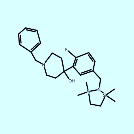 C[Si]1(C)CC[Si](C)(C)N1Cc1ccc(F)c(C2(O)CCN(Cc3ccccc3)CC2)c1